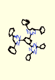 c1ccc(-c2cc(-c3ccccc3)nc(-c3cc(-c4nc(-c5ccccc5)cc(-c5ccccc5)n4)cc(-c4nc(-c5ccccc5)nc(-c5ccccc5)n4)c3)n2)cc1